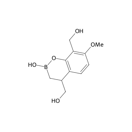 COc1ccc2c(c1CO)OB(O)CC2CO